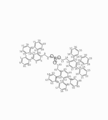 c1ccc(-c2ccc(CCOB(OCCc3ccc(-c4ccccc4)c(-c4ccccc4)c3-c3ccccc3)OCCc3ccc(-c4ccccc4)c(-c4ccccc4)c3-c3ccccc3)c(-c3ccccc3)c2-c2ccccc2)cc1